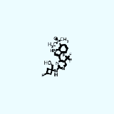 CP(C)(=O)c1cccc2c(-c3nc(NC4(CO)CC(F)C4)ncc3C(F)(F)F)c[nH]c12